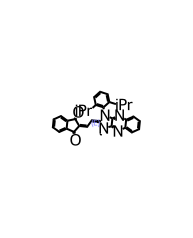 CC(C)c1cccc(C(C)C)c1N1/C(=C/C=C2C(=O)c3ccccc3C2=O)N(C)c2nc3ccccc3nc21